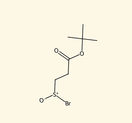 CC(C)(C)OC(=O)CC[S+]([O-])Br